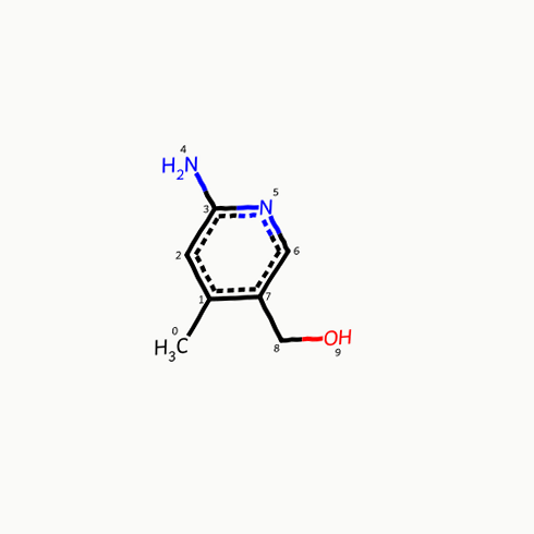 Cc1cc(N)ncc1CO